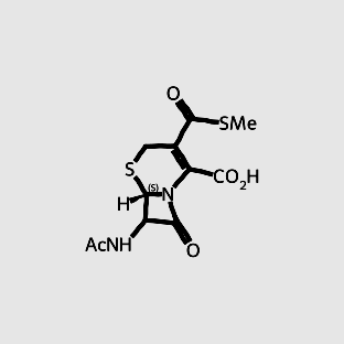 CSC(=O)C1=C(C(=O)O)N2C(=O)C(NC(C)=O)[C@@H]2SC1